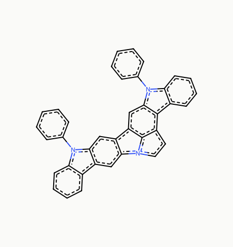 c1ccc(-n2c3ccccc3c3cc4c(cc32)c2cc3c(c5ccccc5n3-c3ccccc3)c3ccn4c23)cc1